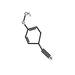 COC1=CCC(C#N)C=C1